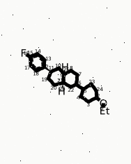 CCOC1CCC(C2CC[C@@H]3C[C@H](c4ccc(F)cc4)CC[C@@H]3C2)CC1